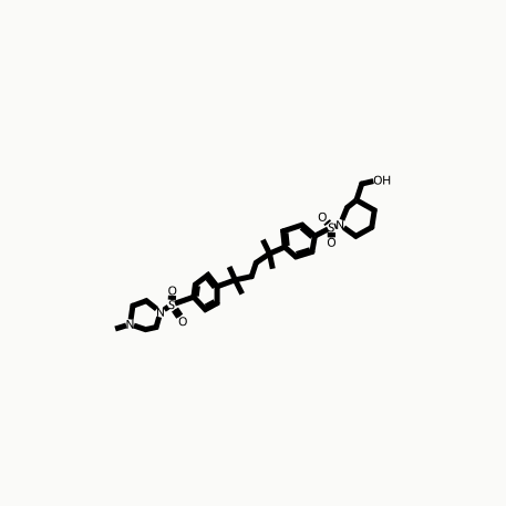 CN1CCN(S(=O)(=O)c2ccc(C(C)(C)CCC(C)(C)c3ccc(S(=O)(=O)N4CCCC(CO)C4)cc3)cc2)CC1